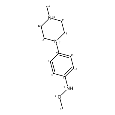 CONc1ccc(N2CCN(C)CC2)cc1